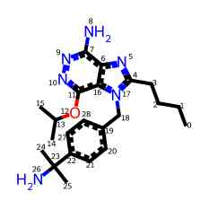 CCCCc1nc2c(N)nnc(OC(C)C)c2n1Cc1ccc(C(C)(C)N)cc1